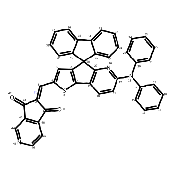 O=C1/C(=C\c2cc3c(s2)-c2ccc(N(c4ccccc4)c4ccccc4)nc2C32c3ccccc3-c3ccccc32)C(=O)c2cnccc21